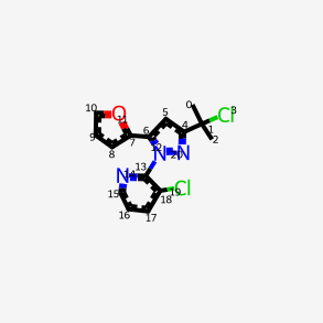 CC(C)(Cl)c1cc(-c2ccco2)n(-c2ncccc2Cl)n1